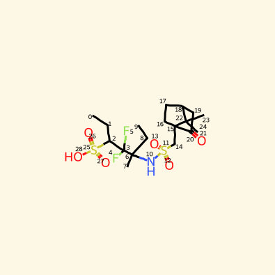 CCC(C(F)(F)C(C)(CC)NS(=O)(=O)CC12CCC(CC1=O)C2(C)C)S(=O)(=O)O